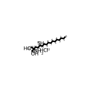 CCCCCCCCCCCCC(S)CCC(N)(CO)CO.Cl